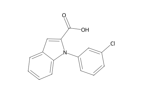 O=C(O)c1cc2ccccc2n1-c1cccc(Cl)c1